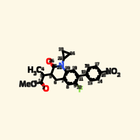 COC(=O)C(C)C1Cc2cc(F)c(-c3ccc([N+](=O)[O-])cc3)cc2N(C2CC2)C1=O